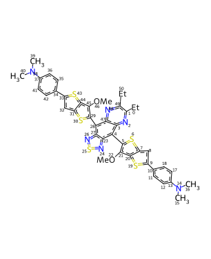 CCc1nc2c(-c3sc4cc(-c5ccc(N(C)C)cc5)sc4c3OC)c3nsnc3c(-c3sc4cc(-c5ccc(N(C)C)cc5)sc4c3OC)c2nc1CC